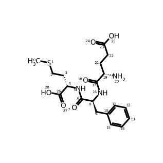 CSCC[C@H](NC(=O)[C@H](Cc1ccccc1)NC(=O)[C@@H](N)CCC(=O)O)C(=O)O